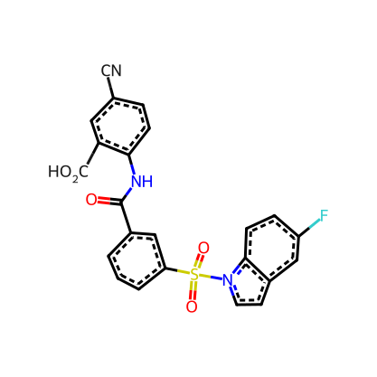 N#Cc1ccc(NC(=O)c2cccc(S(=O)(=O)n3ccc4cc(F)ccc43)c2)c(C(=O)O)c1